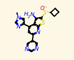 Cn1cnc(-c2cc(-c3cncnc3)nc3sc([S+]([O-])C4CCC4)c(N)c23)c1